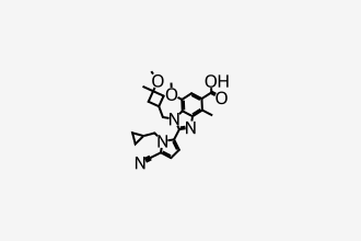 COc1cc(C(=O)O)c(C)c2nc(-c3ccc(C#N)n3CC3CC3)n(CC3CC(C)(OC)C3)c12